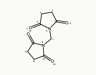 O=C1CCC(=O)N1CN1C(=O)CCC1=O